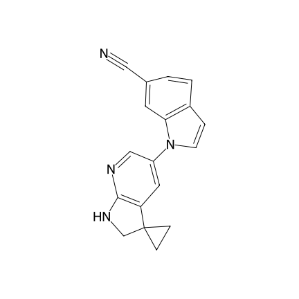 N#Cc1ccc2ccn(-c3cnc4c(c3)C3(CC3)CN4)c2c1